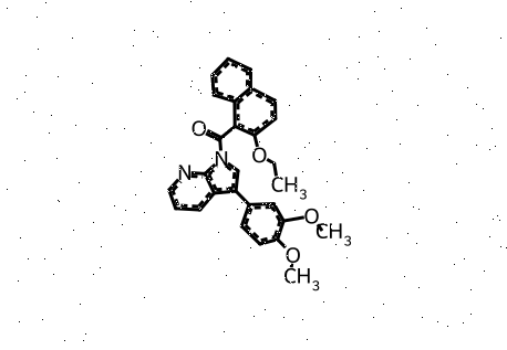 CCOc1ccc2ccccc2c1C(=O)n1cc(-c2ccc(OC)c(OC)c2)c2cccnc21